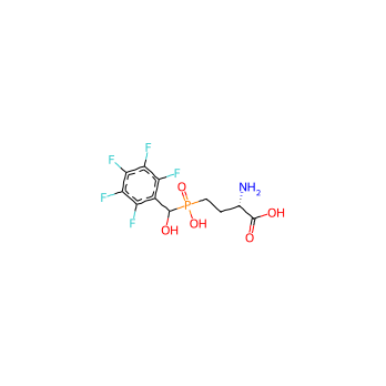 N[C@@H](CCP(=O)(O)C(O)c1c(F)c(F)c(F)c(F)c1F)C(=O)O